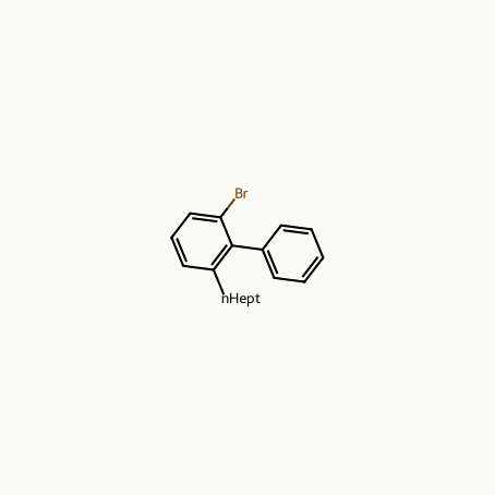 CCCCCCCc1cccc(Br)c1-c1ccccc1